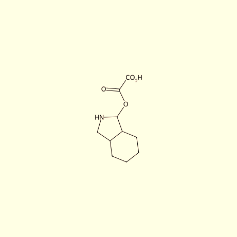 O=C(O)C(=O)OC1NCC2CCCCC21